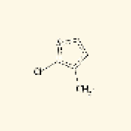 [CH2]c1ccsc1Cl